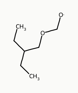 CCC(CC)COC[O]